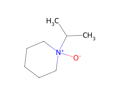 CC(C)[N+]1([O-])CCCCC1